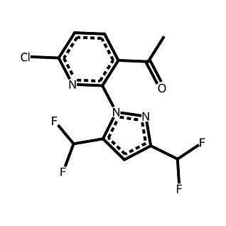 CC(=O)c1ccc(Cl)nc1-n1nc(C(F)F)cc1C(F)F